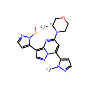 C[C@@H]1COCCN1c1cc(-c2ccnn2C)n2ncc(-c3ccnn3PI)c2n1